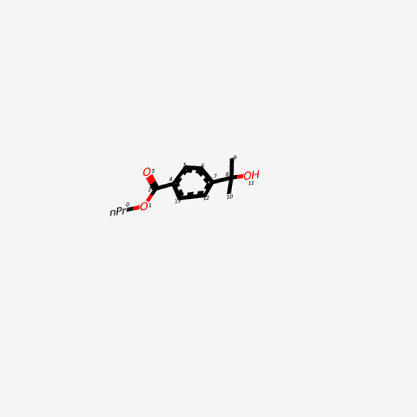 CCCOC(=O)c1ccc(C(C)(C)O)cc1